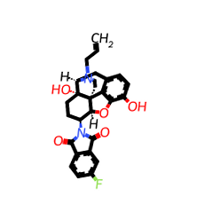 C=CCN1CC[C@]23c4c5ccc(O)c4O[C@H]2[C@@H](N2C(=O)c4ccc(F)cc4C2=O)CC[C@@]3(O)[C@H]1C5